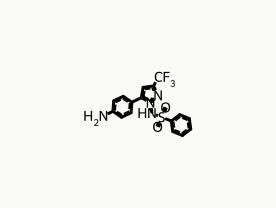 Nc1ccc(-c2cc(C(F)(F)F)nn2NS(=O)(=O)c2ccccc2)cc1